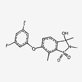 Cc1c(Oc2cc(F)cc(F)c2)ccc2c1S(=O)(=O)N(C)C2(C)O